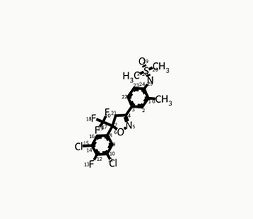 Cc1cc(C2=NOC(c3cc(Cl)c(F)c(Cl)c3)(C(F)(F)F)C2)ccc1N=S(C)(C)=O